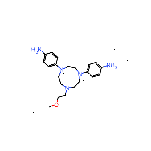 COCCN1CCN(c2ccc(N)cc2)CCN(c2ccc(N)cc2)CC1